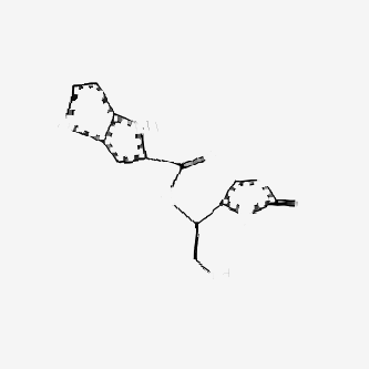 CCC(OC(=O)c1cc2occc2[nH]1)c1coc(=O)o1